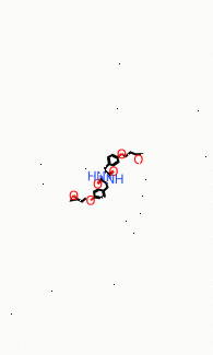 O=C1NC(Cc2ccc(OCCC3CO3)cc2)C(=O)NC1Cc1ccc(OCCC2CO2)cc1